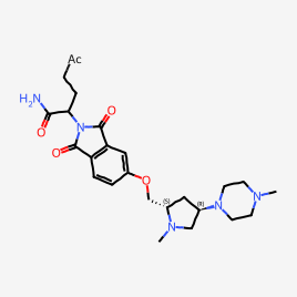 CC(=O)CCC(C(N)=O)N1C(=O)c2ccc(OC[C@@H]3C[C@@H](N4CCN(C)CC4)CN3C)cc2C1=O